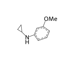 COc1cccc(NC2CC2)c1